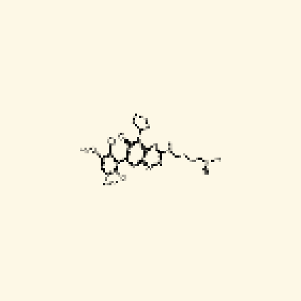 CCN(CC)CCCCNc1nnc2cc(-c3c(Cl)c(OC)cc(OC)c3Cl)c(=O)n(C3CCCC3)c2n1